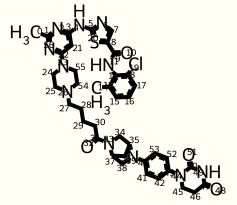 Cc1nc(Nc2ncc(C(=O)Nc3c(C)cccc3Cl)s2)cc(N2CCN(CCCCC(=O)N3CC4CC3CN4c3ccc(N4CCC(=O)NC4=O)cc3)CC2)n1